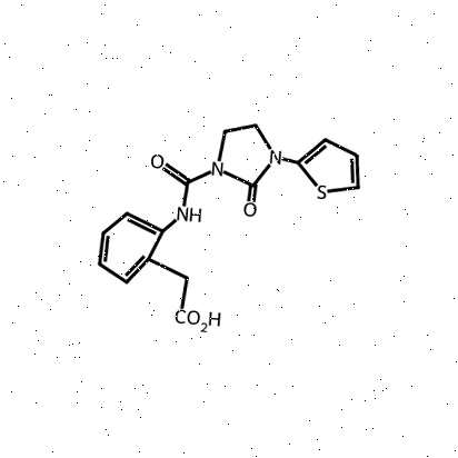 O=C(O)Cc1ccccc1NC(=O)N1CCN(c2cccs2)C1=O